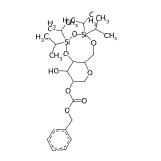 CC(C)[Si]1(C(C)C)OCC2OCC(OC(=O)OCc3ccccc3)C(O)C2O[Si](C(C)C)(C(C)C)O1